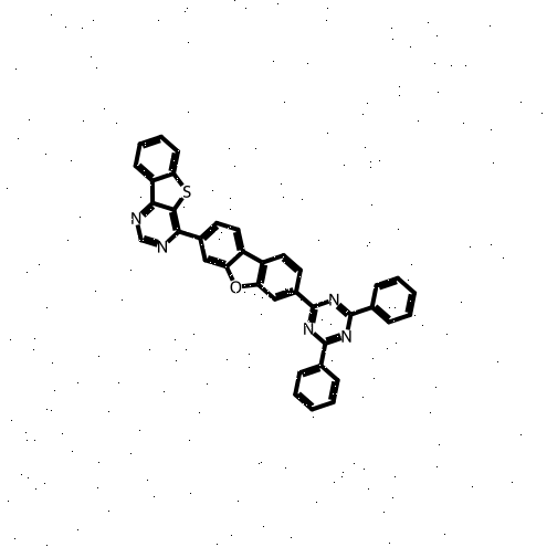 c1ccc(-c2nc(-c3ccccc3)nc(-c3ccc4c(c3)oc3cc(-c5ncnc6c5sc5ccccc56)ccc34)n2)cc1